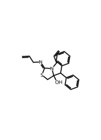 C=CC/N=C1\SCC(O)(C(c2ccccc2)c2ccccc2)N1CC=C